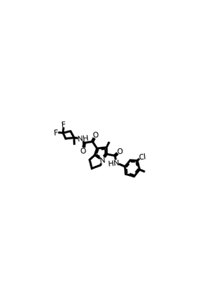 Cc1ccc(NC(=O)c2c(C)c(C(=O)C(=O)NC3(C)CC(F)(F)C3)c3n2CCC3)cc1Cl